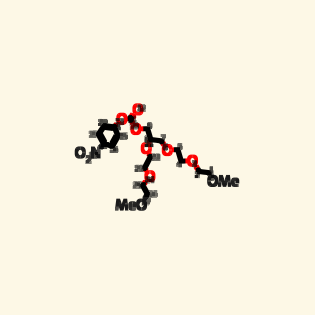 COCCOCCOCC(COC(=O)Oc1ccc([N+](=O)[O-])cc1)OCCOCCOC